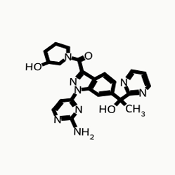 CC(O)(c1ccc2c(C(=O)N3CCCC(O)C3)nn(-c3ccnc(N)n3)c2c1)c1ncccn1